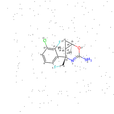 NC1=N[C@](CF)(c2cccc(Cl)c2F)[C@H]2C[C@H]2O1